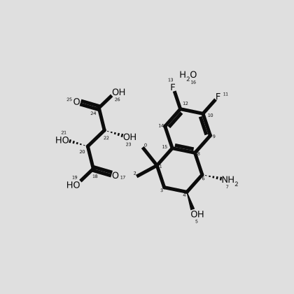 CC1(C)C[C@H](O)[C@@H](N)c2cc(F)c(F)cc21.O.O=C(O)[C@H](O)[C@@H](O)C(=O)O